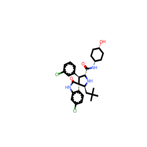 CC(C)(C)C[C@@H]1N[C@@H](C(=O)N[C@H]2CC[C@@H](O)CC2)[C@H](c2cccc(Cl)c2)[C@]12C(=O)Nc1cc(Cl)ccc12